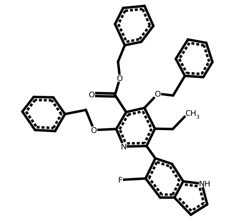 CCc1c(-c2cc3[nH]ccc3cc2F)nc(OCc2ccccc2)c(C(=O)OCc2ccccc2)c1OCc1ccccc1